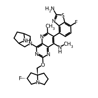 CNc1c(-c2ccc(F)c3sc(N)nc23)c(C)nc2c(N3CC4CCC(C3)N4)nc(OC[C@@]34CCCN3C[C@H](F)C4)nc12